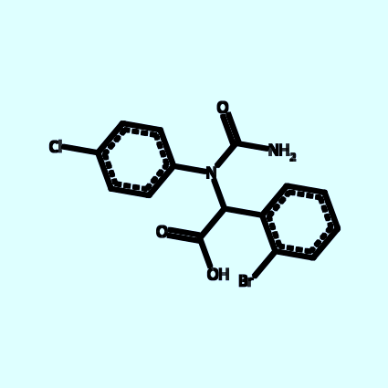 NC(=O)N(c1ccc(Cl)cc1)C(C(=O)O)c1ccccc1Br